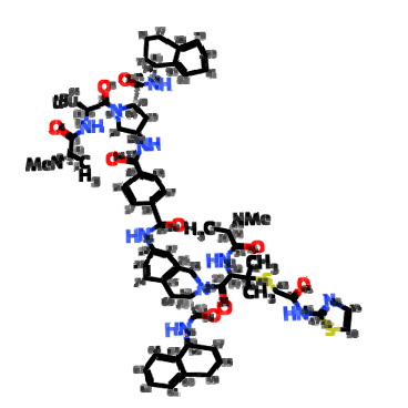 CN[C@@H](C)C(=O)N[C@H](C(=O)N1C[C@@H](NC(=O)c2ccc(C(=O)Nc3ccc4c(c3)CN(C(=O)[C@@H](NC(=O)[C@H](C)NC)C(C)(C)SCC(=O)Nc3nccs3)[C@H](C(=O)N[C@@H]3CCCc5ccccc53)C4)cc2)C[C@H]1C(=O)N[C@@H]1CCCc2ccccc21)C(C)(C)C